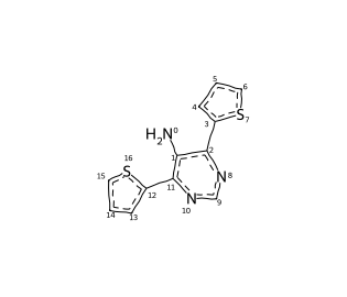 Nc1c(-c2cccs2)ncnc1-c1cccs1